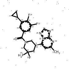 Cc1cc([C@@H]2CN(C(=O)c3cc(F)c(F)c(C4CC4)c3)CC(F)(P)C2)n2ncnc2n1